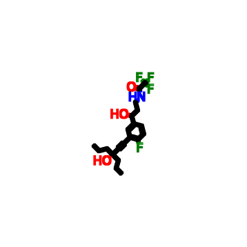 CCCC(O)(C#Cc1cc(C(O)CCNC(=O)C(F)(F)F)ccc1F)CCC